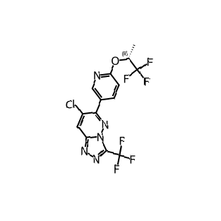 C[C@@H](Oc1ccc(-c2nn3c(C(F)(F)F)nnc3cc2Cl)cn1)C(F)(F)F